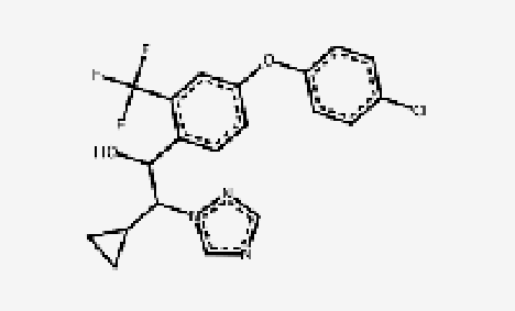 OC(c1ccc(Oc2ccc(Cl)cc2)cc1C(F)(F)F)C(C1CC1)n1cncn1